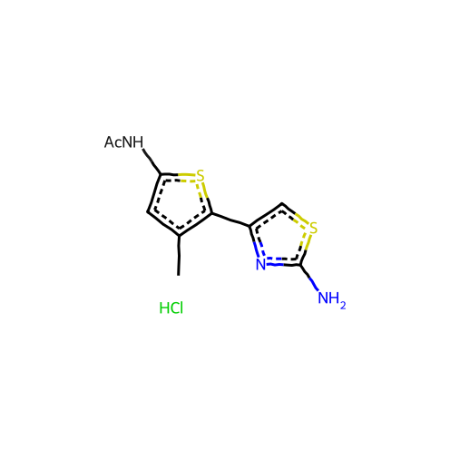 CC(=O)Nc1cc(C)c(-c2csc(N)n2)s1.Cl